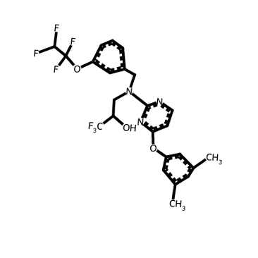 Cc1cc(C)cc(Oc2ccnc(N(Cc3cccc(OC(F)(F)C(F)F)c3)CC(O)C(F)(F)F)n2)c1